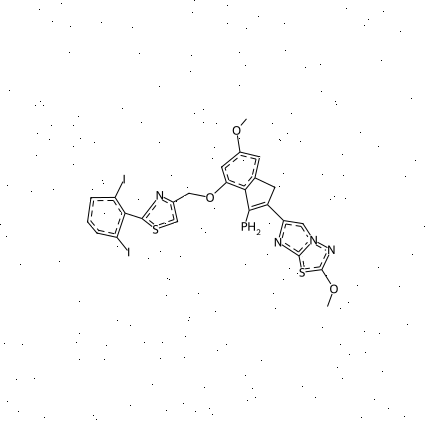 COc1cc2c(c(OCc3csc(-c4c(I)cccc4I)n3)c1)C(P)=C(c1cn3nc(OC)sc3n1)C2